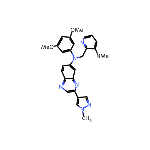 CNc1cccnc1CN(c1cc(OC)cc(OC)c1)c1ccc2ncc(-c3cnn(C)c3)nc2c1